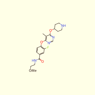 COCCNC(=O)c1ccc(Oc2ncnc(OC3CCNCC3)c2C)c(F)c1